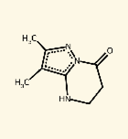 Cc1nn2c(c1C)NCCC2=O